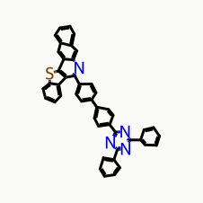 c1ccc(-c2nc(-c3ccccc3)nc(-c3ccc(-c4ccc(-c5nc6cc7ccccc7cc6c6sc7ccccc7c56)cc4)cc3)n2)cc1